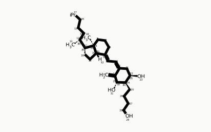 C=C1C(=CC=C2CCC[C@]3(C)[C@@H]([C@H](C)CCCC(C)C)CC[C@@H]23)C[C@@H](O)[C@@H](CCCCO)[C@@H]1O